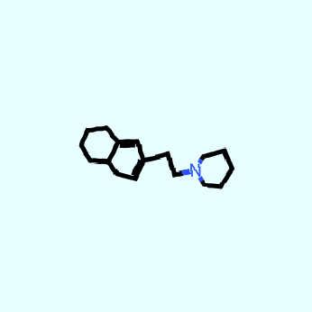 C1=C(CCN2CCCCC2)C=C2CCCCC2C1